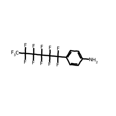 Nc1ccc(C(F)(F)C(F)(F)C(F)(F)C(F)(F)C(F)(F)C(F)(F)F)cc1